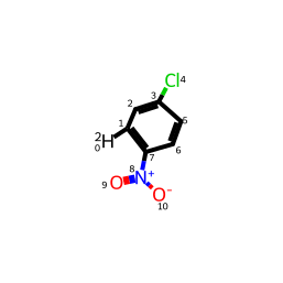 [2H]c1cc(Cl)ccc1[N+](=O)[O-]